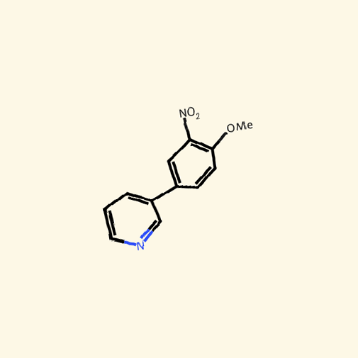 COc1ccc(-c2cccnc2)cc1[N+](=O)[O-]